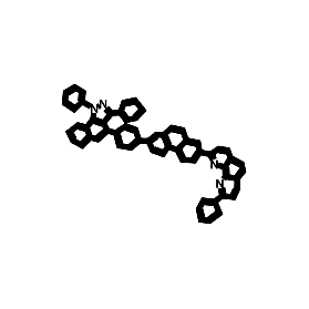 c1ccc(-c2ccc3ccc4ccc(-c5ccc6c(ccc7cc(-c8ccc(-c9cc%10ccccc%10c%10c9c(-c9ccccc9)nn%10-c9ccccc9)cc8)ccc76)c5)nc4c3n2)cc1